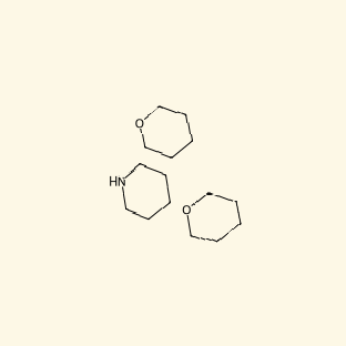 C1CCNCC1.C1CCOCC1.C1CCOCC1